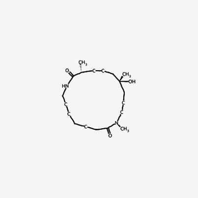 C[C@@H]1CCC[C@](C)(O)CCCN(C)C(=O)CCCCCCNC1=O